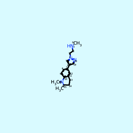 CNCCn1cc(-c2ccc3c(c2)CC[C@H](C)N3C)cn1